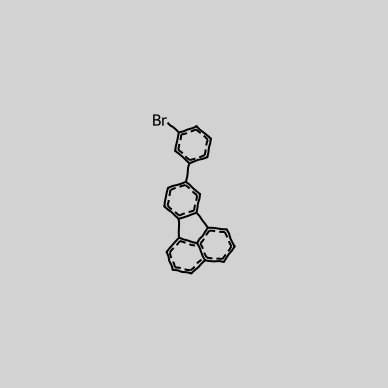 Brc1cccc(-c2ccc3c(c2)-c2cccc4cccc-3c24)c1